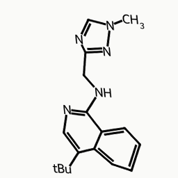 Cn1cnc(CNc2ncc(C(C)(C)C)c3ccccc23)n1